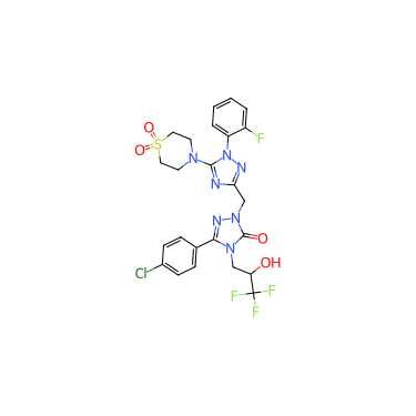 O=c1n(Cc2nc(N3CCS(=O)(=O)CC3)n(-c3ccccc3F)n2)nc(-c2ccc(Cl)cc2)n1CC(O)C(F)(F)F